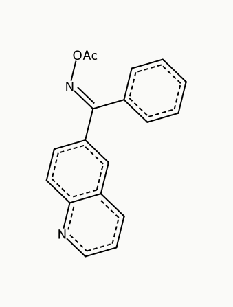 CC(=O)ON=C(c1ccccc1)c1ccc2ncccc2c1